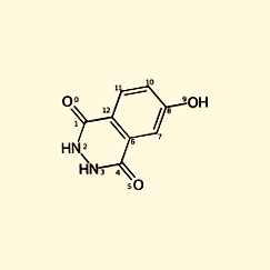 O=c1[nH][nH]c(=O)c2cc(O)ccc12